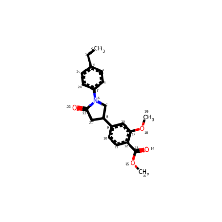 CCc1ccc(N2CC(c3ccc(C(=O)OC)c(OC)c3)CC2=O)cc1